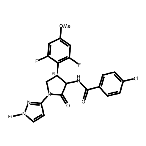 CCn1ccc(N2C[C@@H](c3c(F)cc(OC)cc3F)C(NC(=O)c3ccc(Cl)cc3)C2=O)n1